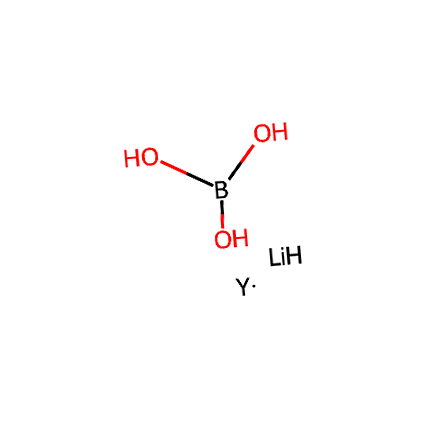 OB(O)O.[LiH].[Y]